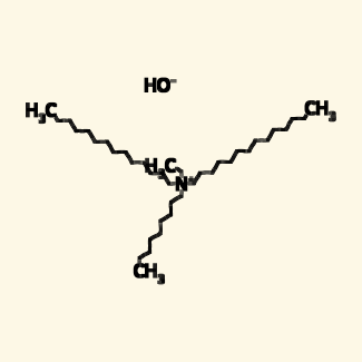 CCCCCCCCCCCCCC[N+](CC)(CCCCCCCCC)CCCCCCCCCCCCCC.[OH-]